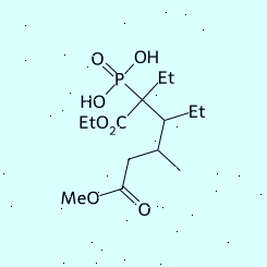 CCOC(=O)C(CC)(C(CC)C(C)CC(=O)OC)P(=O)(O)O